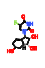 O=c1[nH]c(=O)n([C@@H]2C3=CC[C@H](O)C[C@@H]3[C@@H](O)[C@H]2O)cc1F